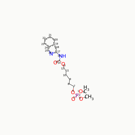 COP(=O)(OC)OCCCCCCOC(=O)Nc1cc2ccccc2cn1